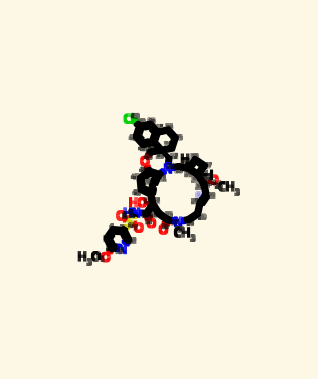 COc1ccc(S(=O)(=O)NC(=O)[C@@]2(O)CC(=O)N(C)CC/C=C/[C@H](OC)[C@@H]3CC[C@H]3CN3C[C@@]4(CCCc5cc(Cl)ccc54)COc4ccc2cc43)cn1